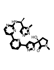 C[C@H](Nc1nccc(-c2cccc(-c3cc([C@]4(O)CCN(C)C4=O)on3)n2)n1)c1cnnn1C